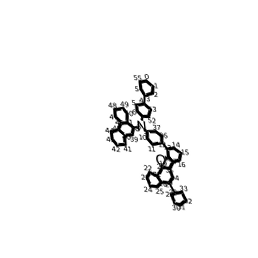 c1ccc(-c2ccc(N(c3ccc(-c4cccc5c4oc4c6ccccc6c(-c6ccccc6)cc54)cc3)c3cc4ccccc4c4ccccc34)cc2)cc1